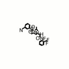 CC1CN(CC(=O)Nc2ccccc2C(F)(F)F)CC(C)N1S(=O)(=O)c1cccc(C#N)c1